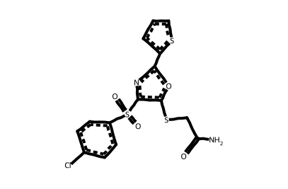 NC(=O)CSc1oc(-c2cccs2)nc1S(=O)(=O)c1ccc(Cl)cc1